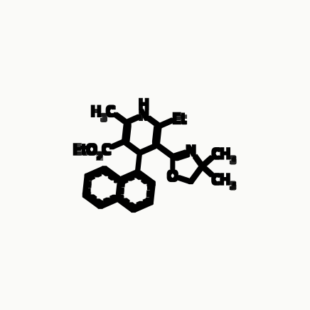 CCOC(=O)C1=C(C)NC(CC)=C(C2=NC(C)(C)CO2)C1c1cccc2ccccc12